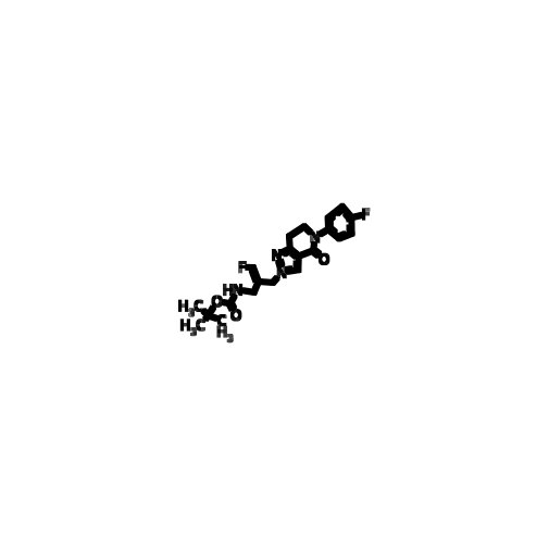 CC(C)(C)OC(=O)NCC(=CF)Cn1cc2c(n1)CCN(c1ccc(F)cc1)C2=O